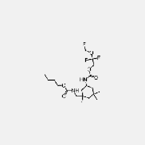 CCCCOC(=O)NCC1(C)CC(NC(=O)OCC(F)(F)OCF)CC(C)(C)C1